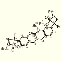 CCOP(=O)(OCC)C(F)(F)c1ccc(CN(Cc2ccc(C(F)(F)P(=O)(O)OC(C)CC)cc2)C(=O)OC(C)(C)C)cc1